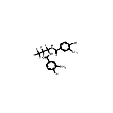 Nc1cc(C(=O)NC(F)(NC(=O)c2ccc(O)c(N)c2)C(F)(F)C(F)(F)F)ccc1O